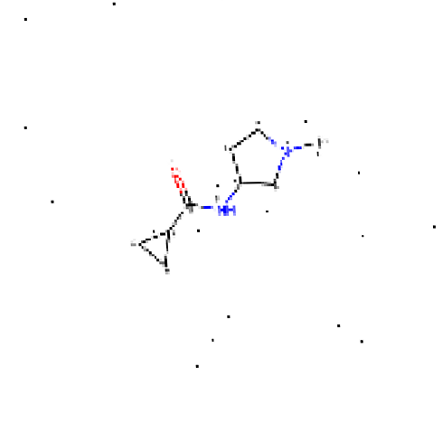 CC(C)N1CCC(NC(=O)C2CC2)C1